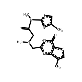 Cc1csc(N(C)C(=O)CN(C)Cc2nc3c(C)csc3c(=O)[nH]2)n1